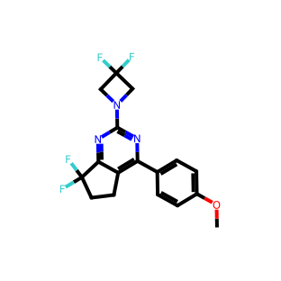 COc1ccc(-c2nc(N3CC(F)(F)C3)nc3c2CCC3(F)F)cc1